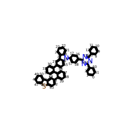 c1ccc(-c2nc(-c3ccccc3)nc(-c3ccc(-n4c5ccccc5c5cc(-c6ccccc6-c6ccccc6-c6ccc7sc8ccccc8c7c6)ccc54)cc3)n2)cc1